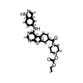 CCOC(=O)ON1CCN(C(=O)C2CCc3c(sc4ncnc(Nc5ccc6[nH]ncc6c5)c34)C2)CC1